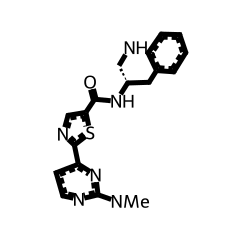 CNc1nccc(-c2ncc(C(=O)N[C@H](CN)Cc3ccccc3)s2)n1